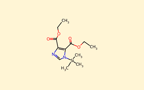 CCOC(=O)c1ncn([Si](C)(C)C)c1C(=O)OCC